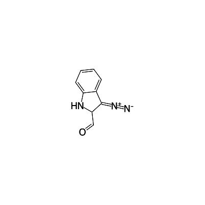 [N-]=[N+]=C1c2ccccc2NC1C=O